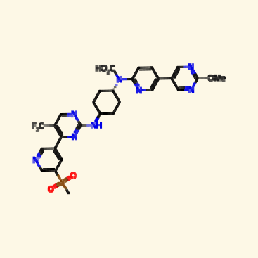 COc1ncc(-c2ccc(N(C(=O)O)[C@H]3CC[C@H](Nc4ncc(C(F)(F)F)c(-c5cncc(S(C)(=O)=O)c5)n4)CC3)nc2)cn1